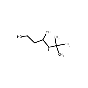 CC(C)(C)NC(O)CCO